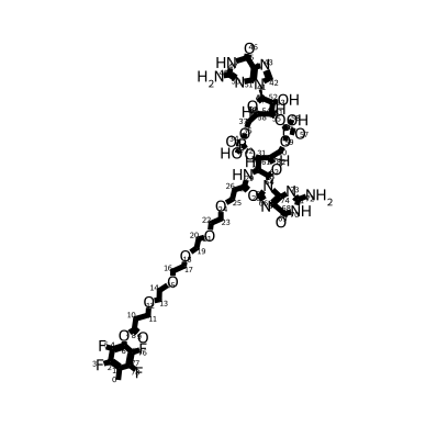 Cc1c(F)c(F)c(OC(=O)CCOCCOCCOCCOCCOCCC(=O)NC2[C@H]3OP(=O)(O)OC[C@H]4O[C@@H](n5cnc6c(=O)[nH]c(N)nc65)C(O)[C@H]4OP(=O)(O)OC[C@H]3O[C@H]2n2cnc3c(=O)[nH]c(N)nc32)c(F)c1F